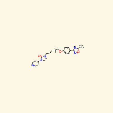 CCc1nc(-c2ccc(OCC(C)(C)CCCN3CCN(c4ccncc4)C3=O)cc2)no1